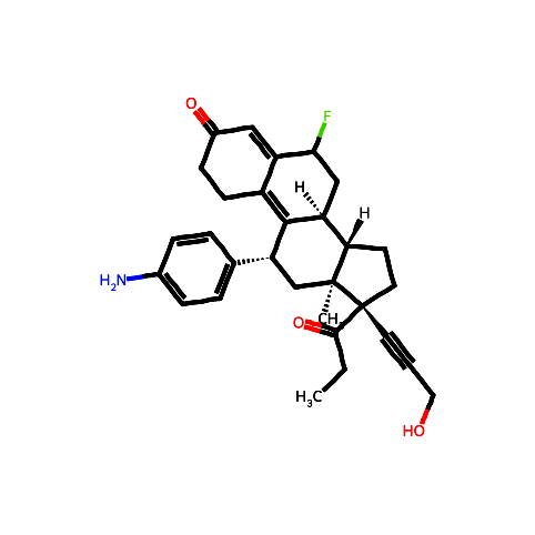 CCC(=O)[C@@]1(C#CCO)CC[C@H]2[C@@H]3CC(F)C4=CC(=O)CCC4=C3[C@@H](c3ccc(N)cc3)C[C@@]21C